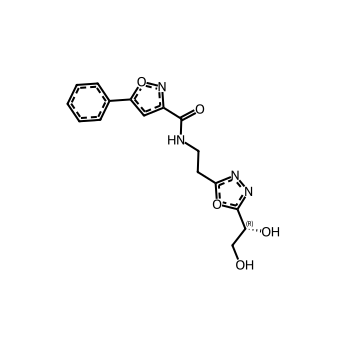 O=C(NCCc1nnc([C@H](O)CO)o1)c1cc(-c2ccccc2)on1